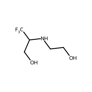 OCCNC(CO)C(F)(F)F